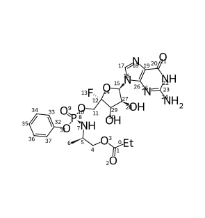 CCC(=O)OC[C@@H](C)N[P@@](=O)(OC[C@@]1(F)O[C@@H](n2cnc3c(=O)[nH]c(N)nc32)[C@@H](O)C1O)Oc1ccccc1